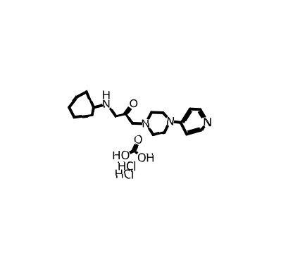 Cl.Cl.O=C(CNC1CCCCC1)CN1CCN(c2ccncc2)CC1.O=C(O)O